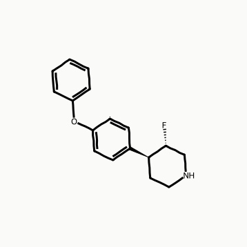 F[C@@H]1CNCC[C@H]1c1c[c]c(Oc2ccccc2)cc1